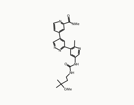 CNC(=O)c1cc(-c2cnnc(-c3cc(NC(=O)NCCC(C)(C)OC)cnc3C)c2)ccn1